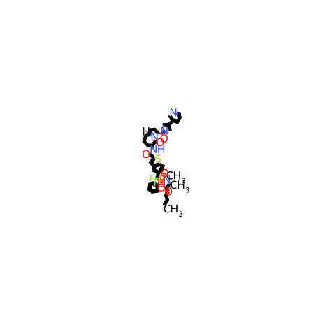 CCCCOC(=O)[C@H](C)N(C)P(=O)(Oc1ccccc1)C(F)(F)c1ccc2sc(C(=O)N[C@H]3CCC[C@H]4CC[C@@H](C(=O)N5CC(c6cccnc6)C5)N4C3=O)cc2c1